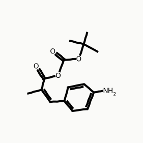 CC(=Cc1ccc(N)cc1)C(=O)OC(=O)OC(C)(C)C